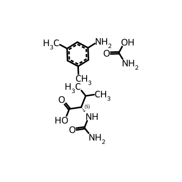 CC(C)[C@H](NC(N)=O)C(=O)O.Cc1cc(C)cc(N)c1.NC(=O)O